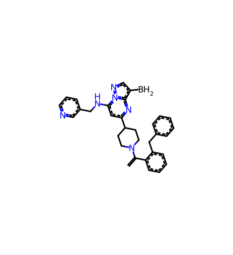 Bc1cnn2c(NCc3cccnc3)cc(C3CCN(C(=C)c4ccccc4Cc4ccccc4)CC3)nc12